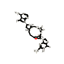 Nc1nc2c(ncn2[C@@H]2OC3CC[C@H]4C[C@H](n5cc(F)c6c(N)ncnc65)O[C@@H]4COP(=O)(S)O[C@@H]2[C@@H]3F)c(=O)[nH]1